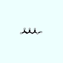 CC(C)OC(=O)CC(=O)C=C(Cl)Cl